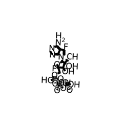 C#CC1(O)C(n2cc(F)c3c(N)ncnc32)OC(F)(COP(=O)(O)OP(=O)(O)OP(=O)(O)O)C1O